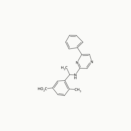 Cc1ccc(C(=O)O)cc1C(C)Nc1cncc(-c2ccccc2)n1